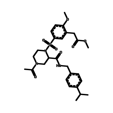 COC(=O)Cc1cc(S(=O)(=O)N2CCN(C(C)=O)CC2C(=O)NCc2ccc(C(C)C)cc2)ccc1OC